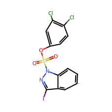 O=S(=O)(Oc1ccc(Cl)c(Cl)c1)n1nc(I)c2c[c]ccc21